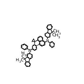 CC1(C)c2ccccc2-c2ccc(N(c3ccccc3)c3ccc4c(c3)C3(CC3)c3cccc5c(N(c6ccccc6)c6ccc7c(c6)C(C)(C)c6ccccc6-7)ccc-4c35)cc21